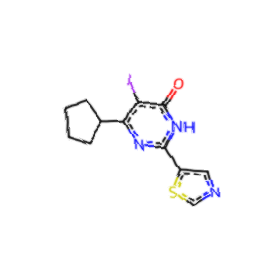 O=c1[nH]c(-c2cncs2)nc(C2CCCC2)c1I